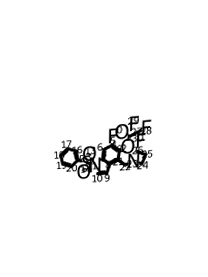 O=C(Oc1c(F)cc2c(ccn2S(=O)(=O)c2ccccc2)c1CN1CCC1)C(F)(F)F